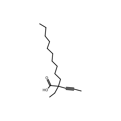 CC#CC(CC)(CCCCCCCCCC)C(=O)O